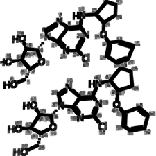 OC[C@H]1O[C@@H](n2cnc3c(NC4CCCC4Oc4ccccc4)nc(Cl)nc32)[C@H](O)[C@@H]1O.OC[C@H]1O[C@@H](n2cnc3c(N[C@H]4CCC[C@H]4Oc4ccccc4)nc(Cl)nc32)[C@H](O)[C@@H]1O